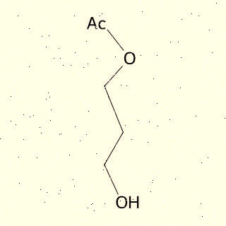 CC(=O)OCCCO